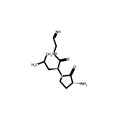 CC(C)C[C@@H](C(=O)NCC=N)N1CC[C@@H](N)C1=O